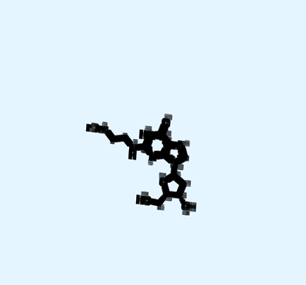 CCCCCCCCCCCCNc1nc2c(ncn2C2C[C@H](O)[C@@H](CO)O2)c(=O)[nH]1